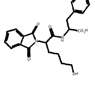 O=C(O)C(Cc1ccccc1)NC(=O)C(CCCCO)N1C(=O)c2ccccc2C1=O